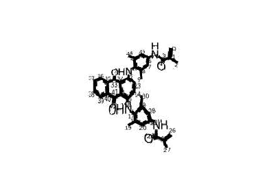 C=C(C)C(=O)Nc1cc(C)c(Nc2ccc(Nc3c(C)cc(NC(=O)C(=C)C)cc3C)c3c2C(=O)c2ccccc2C3=O)c(C)c1